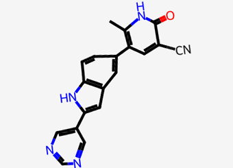 Cc1[nH]c(=O)c(C#N)cc1-c1ccc2[nH]c(-c3cncnc3)cc2c1